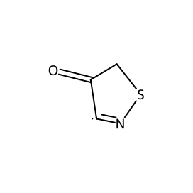 O=C1[C]=NSC1